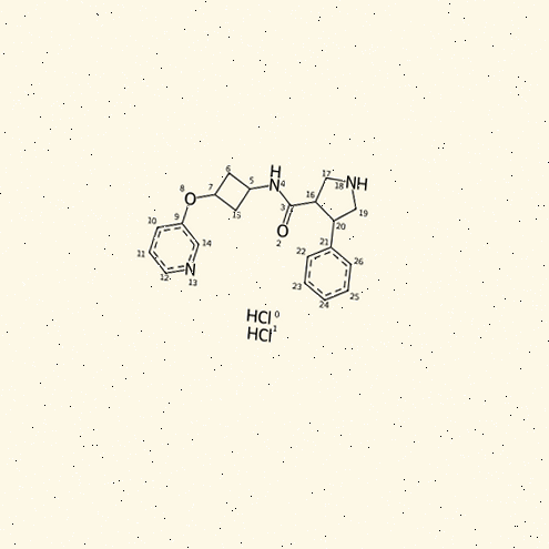 Cl.Cl.O=C(NC1CC(Oc2cccnc2)C1)C1CNCC1c1ccccc1